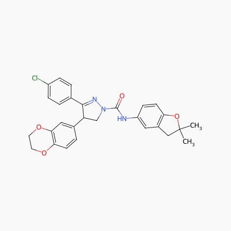 CC1(C)Cc2cc(NC(=O)N3CC(c4ccc5c(c4)OCCO5)C(c4ccc(Cl)cc4)=N3)ccc2O1